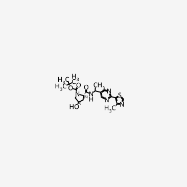 Cc1ncsc1-c1ncc(C(C)NC(=O)[C@@H]2C[C@@H](O)CN2C(=O)OC(C)(C)C)cn1